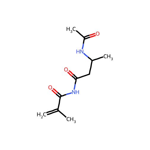 C=C(C)C(=O)NC(=O)CC(C)NC(C)=O